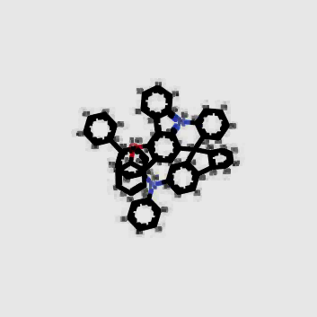 C1=CC2Oc3c(cc4c5c3c3ccccc3n5-c3ccccc3C43c4ccccc4-c4ccc(N(c5ccccc5)c5ccc(-c6ccccc6)cc5)cc43)C2C=C1